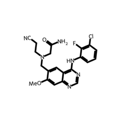 COc1cc2ncnc(Nc3cccc(Cl)c3F)c2cc1CN(CCC#N)CC(N)=O